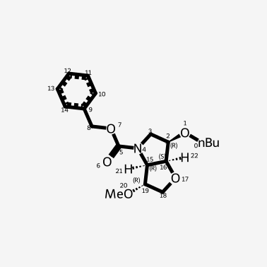 CCCCO[C@@H]1CN(C(=O)OCc2ccccc2)[C@H]2[C@@H]1OC[C@@H]2OC